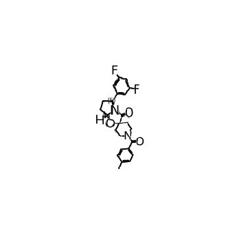 Cc1ccc(C(=O)N2CCC3(CC2)O[C@@H]2CC[C@@H](c4cc(F)cc(F)c4)N2C3=O)cc1